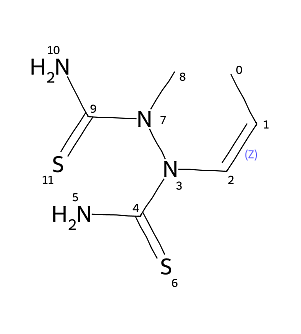 C/C=C\N(C(N)=S)N(C)C(N)=S